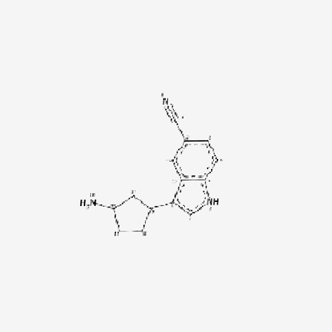 N#Cc1ccc2[nH]cc(C3CCC(N)C3)c2c1